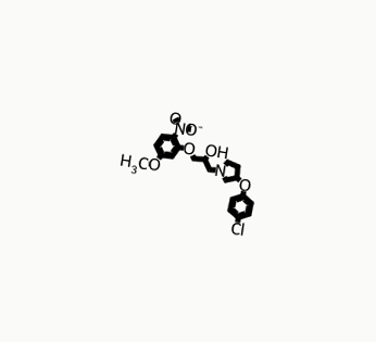 COc1ccc([N+](=O)[O-])c(OCC(O)CN2CCC(Oc3ccc(Cl)cc3)C2)c1